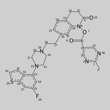 Cc1ncc(C(=O)ON2C(=O)CCc3ccc(CCN4CCN(c5cc(F)cc6sccc56)CC4)cc32)cn1